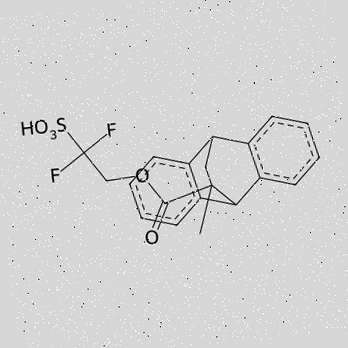 CC1(C(=O)OCC(F)(F)S(=O)(=O)O)CC2c3ccccc3C1c1ccccc12